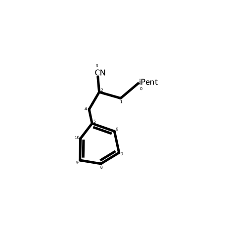 [CH2]C(CCC)CC(C#N)Cc1ccccc1